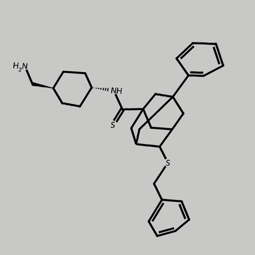 NC[C@H]1CC[C@H](NC(=S)C23CC4CC(c5ccccc5)(CC(C2)C4SCc2ccccc2)C3)CC1